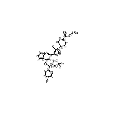 Cc1c(-c2cc(OC(c3ccc(F)cn3)[C@H]3COC(C)(C)O3)c3ccnn3c2)nnn1C1CCN(C(=O)OC(C)(C)C)CC1